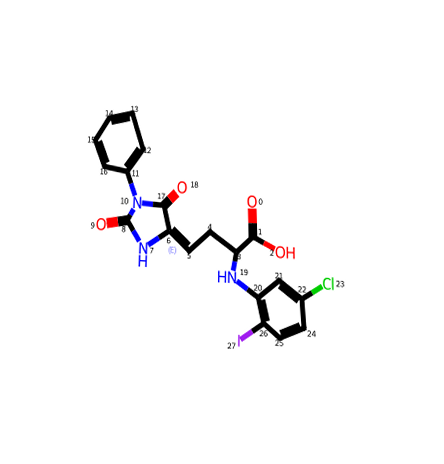 O=C(O)C(C/C=C1/NC(=O)N(c2ccccc2)C1=O)Nc1cc(Cl)ccc1I